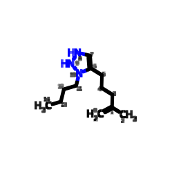 C=C(C)CCCC1=CNNN1CCCC